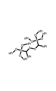 CCCO[Si](OCCC)(OCCC)C(CCC)SSC(CCC)[Si](OCCC)(OCCC)OCCC